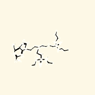 CCCOP(=O)(COCCN(CCn1cnc2c(Cl)nc(N)nc21)CCP(=O)(OCC)OCC)OCCC